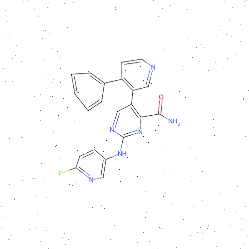 NC(=O)c1nc(Nc2ccc(F)nc2)ncc1-c1cnccc1-c1ccccc1